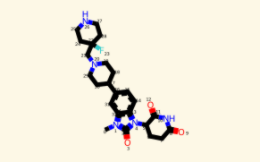 Cn1c(=O)n(C2CCC(=O)NC2=O)c2ccc(C3CCN(CC4(F)CCNCC4)CC3)cc21